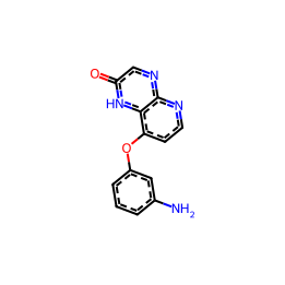 Nc1cccc(Oc2ccnc3ncc(=O)[nH]c23)c1